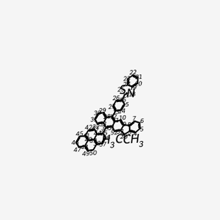 CC1(C)c2ccccc2-c2cc3c(-c4ccc(-c5nc6ccccc6s5)cc4)c4ccccc4c(-c4ccc5c6c7c(ccc46)C=CCC7=CC5)c3cc21